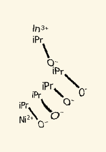 CC(C)[O-].CC(C)[O-].CC(C)[O-].CC(C)[O-].CC(C)[O-].[In+3].[Ni+2]